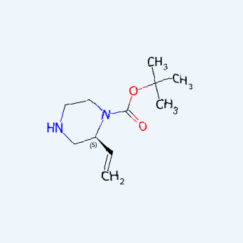 C=C[C@H]1CNCCN1C(=O)OC(C)(C)C